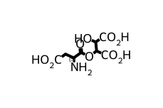 N[C@@H](CC(=O)O)C(=O)OC(C(=O)O)C(O)C(=O)O